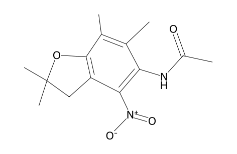 CC(=O)Nc1c(C)c(C)c2c(c1[N+](=O)[O-])CC(C)(C)O2